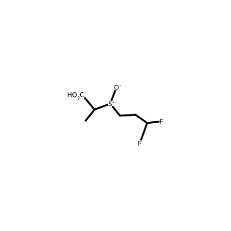 CC(C(=O)O)[S+]([O-])CCC(F)F